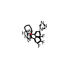 Cc1cc(C(=O)N2C3CCC[C@H]2c2nn(C)c(-c4cc(F)c(F)c(F)c4)c2C3)cc(-n2cnnc2)c1